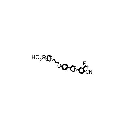 N#Cc1ccc(N2CCC(c3ccc(OCCCN4CCN(C(=O)O)CC4)cc3)CC2)cc1C(F)F